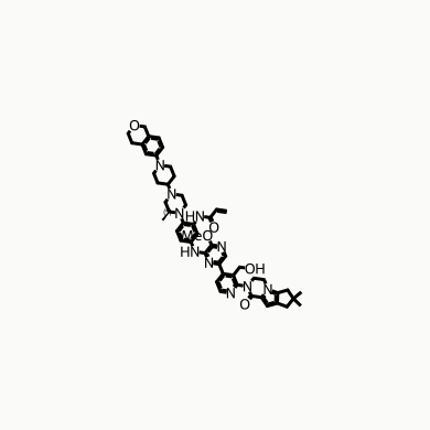 C=CC(=O)Nc1cc(Nc2nc(-c3ccnc(N4CCn5c(cc6c5CC(C)(C)C6)C4=O)c3CO)cnc2OC)ccc1N1CCN(C2CCN(c3ccc4c(c3)CCOC4)CC2)C[C@@H]1C